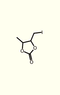 CC1OC(=O)OC1CI